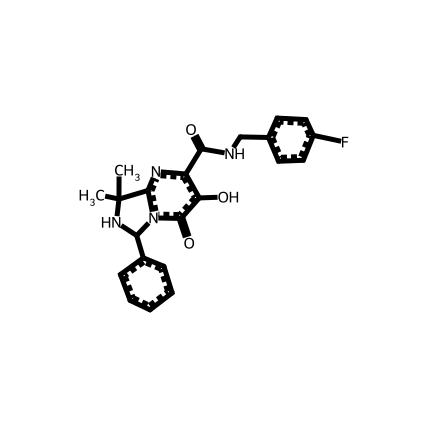 CC1(C)NC(c2ccccc2)n2c1nc(C(=O)NCc1ccc(F)cc1)c(O)c2=O